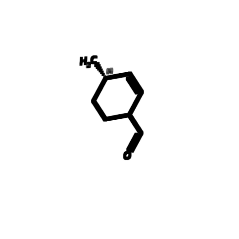 C[C@@H]1C=CC(C=O)CC1